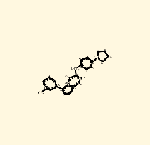 Clc1cccc(-c2ccc3cnc(Nc4ccc(N5CCCC5)cc4)nn23)c1